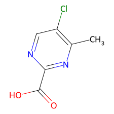 Cc1nc(C(=O)O)ncc1Cl